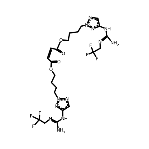 NC(=NCC(F)(F)F)Nc1cnn(CCCCOC(=O)/C=C\C(=O)OCCCCn2ncc(NC(N)=NCC(F)(F)F)n2)n1